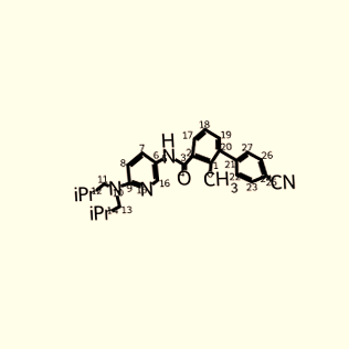 Cc1c(C(=O)Nc2ccc(N(CC(C)C)CC(C)C)nc2)cccc1-c1ccc(C#N)cc1